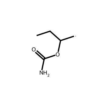 [CH2]C(CC)OC(N)=O